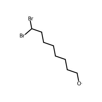 [O]CCCCCCCC(Br)Br